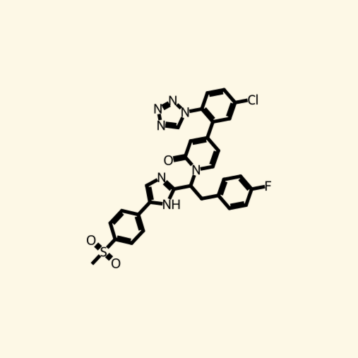 CS(=O)(=O)c1ccc(-c2cnc(C(Cc3ccc(F)cc3)n3ccc(-c4cc(Cl)ccc4-n4cnnn4)cc3=O)[nH]2)cc1